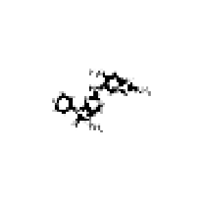 Cc1nc2cc(C)c(Nc3ncc4c(n3)n(C3CCOCC3)c(=O)n4C)cn2n1